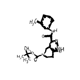 Cc1cccc(NC(=O)c2n[nH]c3c2CN(C(=O)OC(C)(C)C)CC3)c1